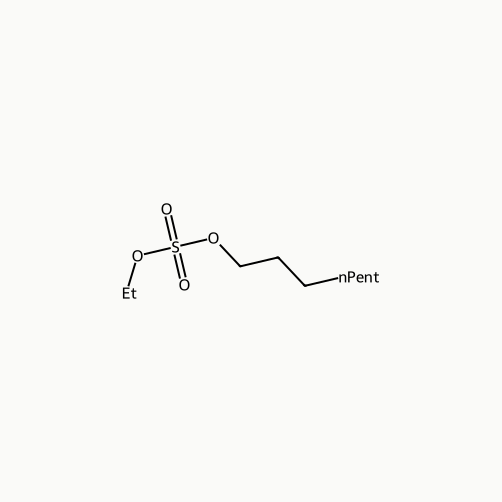 CCCCCCCCOS(=O)(=O)OCC